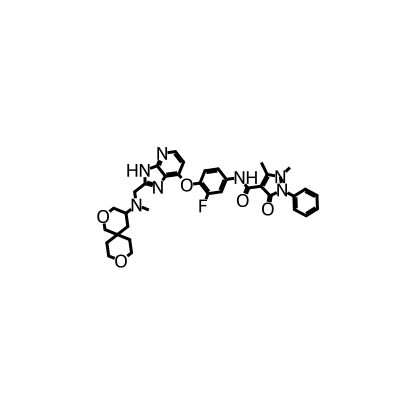 Cc1c(C(=O)Nc2ccc(Oc3ccnc4[nH]c(CN(C)C5COCC6(CCOCC6)C5)nc34)c(F)c2)c(=O)n(-c2ccccc2)n1C